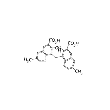 Cc1ccc2c(Cc3c(O)c(C(=O)O)cc4cc(C)ccc34)c(O)c(C(=O)O)cc2c1